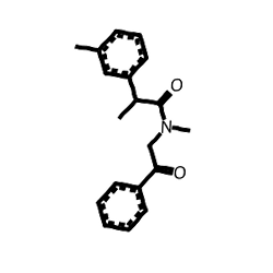 Cc1cccc(C(C)C(=O)N(C)CC(=O)c2ccccc2)c1